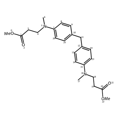 COC(=O)CCN(C)c1ccc(Cc2ccc(N(C)CCC(=O)OC)cc2)cc1